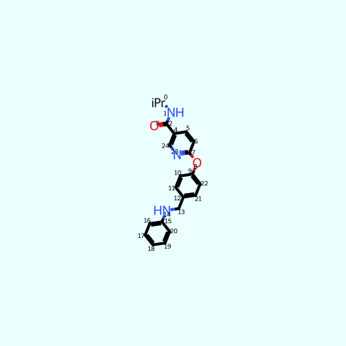 CC(C)NC(=O)c1ccc(Oc2ccc(CNc3ccccc3)cc2)nc1